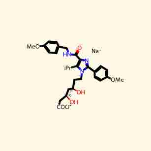 COc1ccc(CNC(=O)c2nc(-c3ccc(OC)cc3)n(CC[C@@H](O)C[C@@H](O)CC(=O)[O-])c2C(C)C)cc1.[Na+]